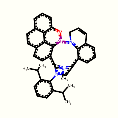 CC(C)c1cccc(C(C)C)c1-n1cc2c3cccc4c3n(p3oc5cccc6ccc7ccc(c1[n+]2C)c3c7c65)CC=C4